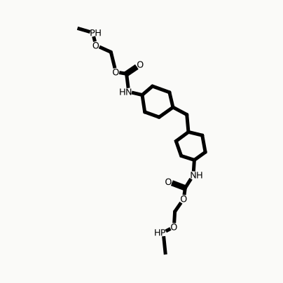 CPOCOC(=O)NC1CCC(CC2CCC(NC(=O)OCOPC)CC2)CC1